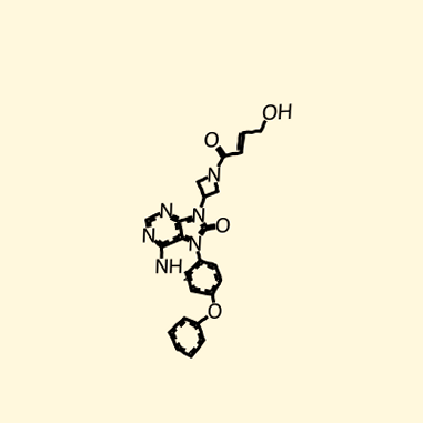 Nc1ncnc2c1n(-c1ccc(Oc3ccccc3)cc1)c(=O)n2C1CN(C(=O)C=CCO)C1